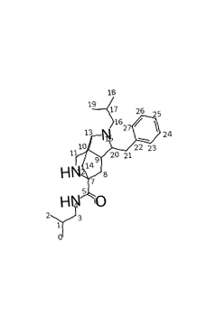 CC(C)CNC(=O)C12CC3C(CN1)C(C2)N(CC(C)C)C3Cc1ccccc1